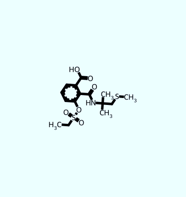 CCS(=O)(=O)Oc1cccc(C(=O)O)c1C(=O)NC(C)(C)CSC